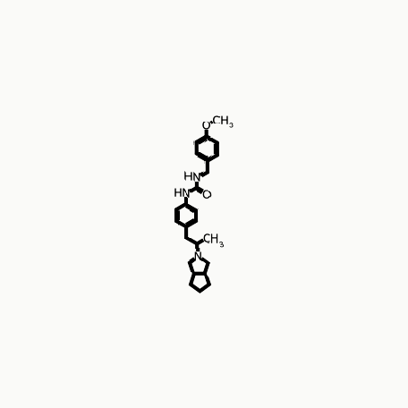 COc1ccc(CNC(=O)Nc2ccc(CC(C)N3CC4CCCC4C3)cc2)cc1